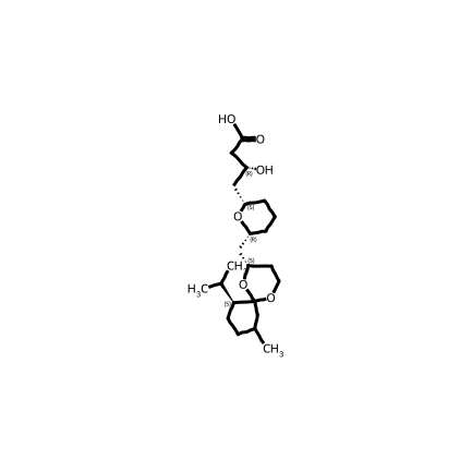 CC1CC[C@@H](C(C)C)C2(C1)OCC[C@@H](C[C@H]1CCC[C@@H](C[C@@H](O)CC(=O)O)O1)O2